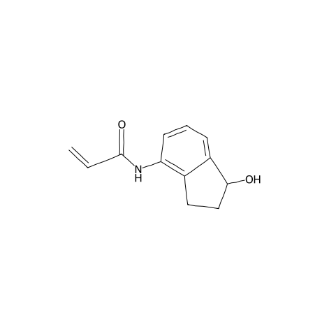 C=CC(=O)Nc1cccc2c1CCC2O